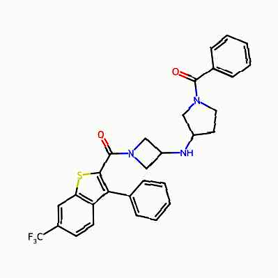 O=C(c1ccccc1)N1CCC(NC2CN(C(=O)c3sc4cc(C(F)(F)F)ccc4c3-c3ccccc3)C2)C1